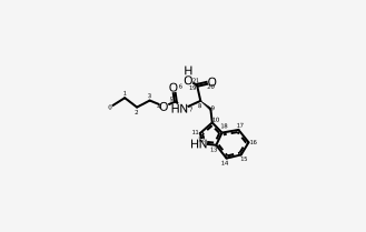 CCCCOC(=O)N[C@H](Cc1c[nH]c2ccccc12)C(=O)O